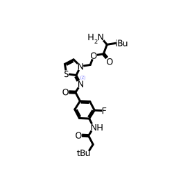 CCC(C)C(N)C(=O)OCn1ccs/c1=N\C(=O)c1ccc(NC(=O)CC(C)(C)C)c(F)c1